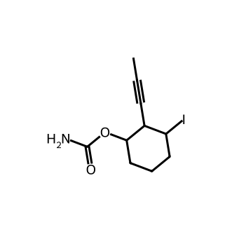 CC#CC1C(I)CCCC1OC(N)=O